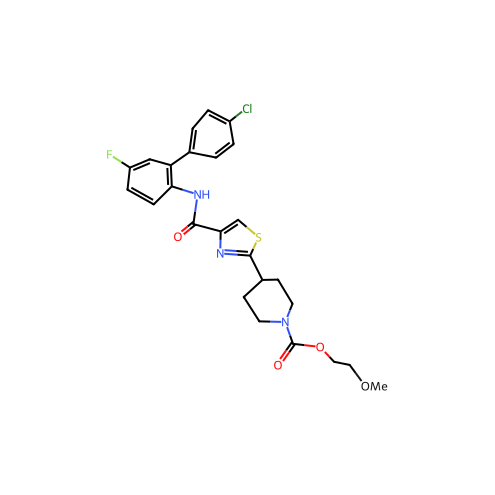 COCCOC(=O)N1CCC(c2nc(C(=O)Nc3ccc(F)cc3-c3ccc(Cl)cc3)cs2)CC1